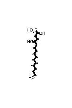 O=C(O)C(O)CCC(O)CCCCCCCCCCCO